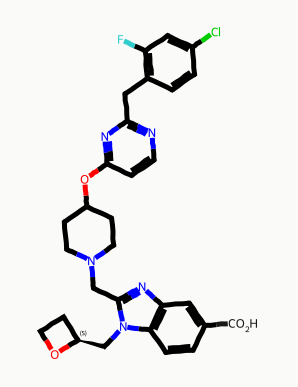 O=C(O)c1ccc2c(c1)nc(CN1CCC(Oc3ccnc(Cc4ccc(Cl)cc4F)n3)CC1)n2C[C@@H]1CCO1